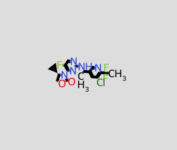 C[C@H](Nc1ncc(F)c(N2C(=O)OC[C@@H]2C2CC2)n1)c1cnc(C(C)(F)F)c(Cl)c1